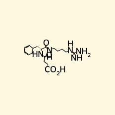 N=C(N)NCCCCNC(=O)[C@@H](Cc1ccccc1)NC(=O)CCC(=O)O